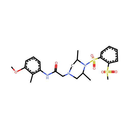 COc1cccc(NC(=O)CN2CC(C)N(S(=O)(=O)c3ccccc3S(C)(=O)=O)C(C)C2)c1C